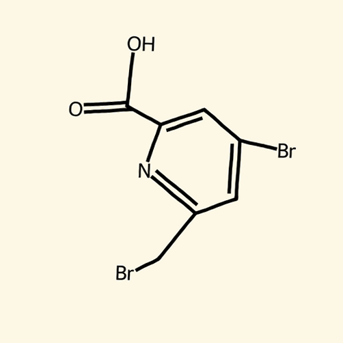 O=C(O)c1cc(Br)cc(CBr)n1